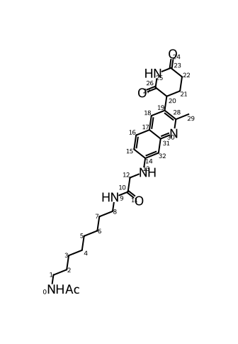 CC(=O)NCCCCCCCCNC(=O)CNc1ccc2cc(C3CCC(=O)NC3=O)c(C)nc2c1